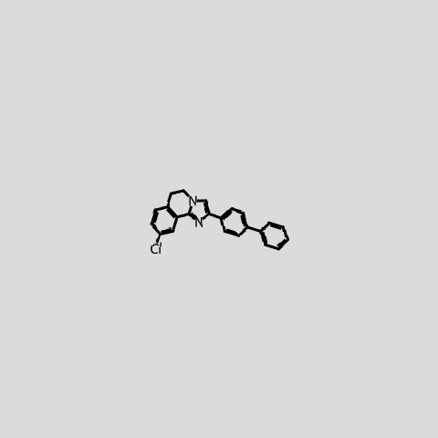 Clc1ccc2c(c1)-c1nc(-c3ccc(-c4ccccc4)cc3)cn1CC2